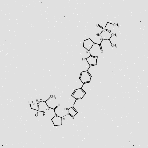 CCS(=O)(=O)N[C@@H](C(=O)N1CCC[C@H]1c1ncc(-c2ccc(-c3ccc(-c4cnc([C@@H]5CCCN5C(=O)[C@H](NS(=O)(=O)CC)C(C)C)[nH]4)cc3)cc2)[nH]1)C(C)C